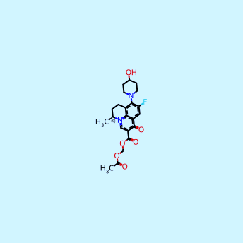 CC(=O)OCOC(=O)c1cn2c3c(c(N4CCC(O)CC4)c(F)cc3c1=O)CC[C@@H]2C